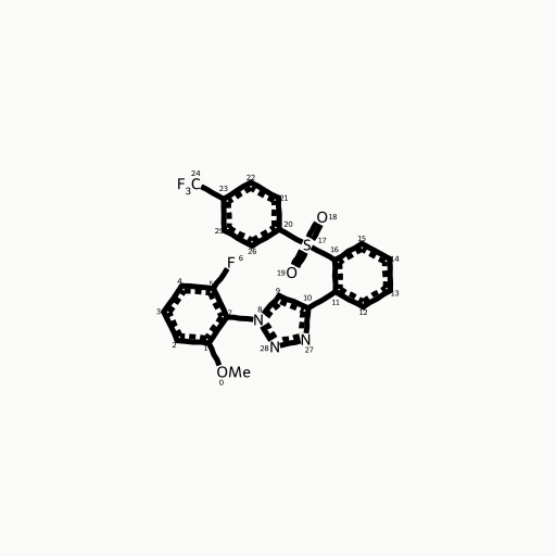 COc1cccc(F)c1-n1cc(-c2ccccc2S(=O)(=O)c2ccc(C(F)(F)F)cc2)nn1